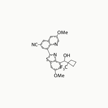 COc1cnc2c(-c3nc4c(C(O)C5(C(F)(F)F)CCC5)cc(OC)cc4s3)cc(C#N)cc2c1